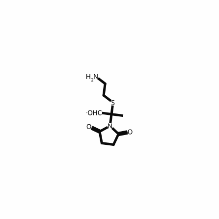 CC([C]=O)(SCCN)N1C(=O)CCC1=O